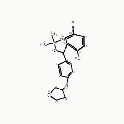 C[Si](C)(C)OC(c1ccc(OC2CCOC2)cc1)c1cc(I)ccc1Cl